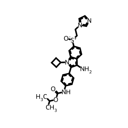 CC(C)OC(=O)Nc1ccc(-c2c(N)c3ccc([S+]([O-])CCn4ccnc4)cc3n2C2CCC2)cc1